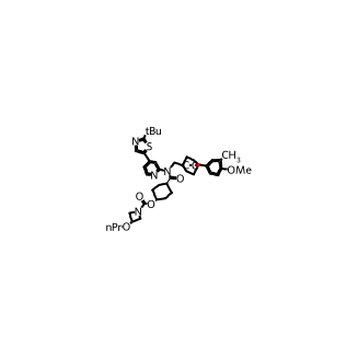 CCCOC1CN(C(=O)O[C@H]2CC[C@H](C(=O)N(CC34CCC(c5ccc(OC)c(C)c5)(CC3)CC4)c3cc(-c4cnc(C(C)(C)C)s4)ccn3)CC2)C1